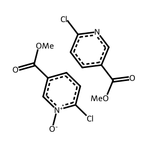 COC(=O)c1ccc(Cl)[n+]([O-])c1.COC(=O)c1ccc(Cl)nc1